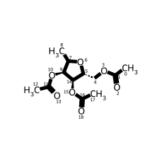 CC(=O)OC[C@H]1OC(C)[C@H](OC(C)=O)[C@@H]1OC(C)=O